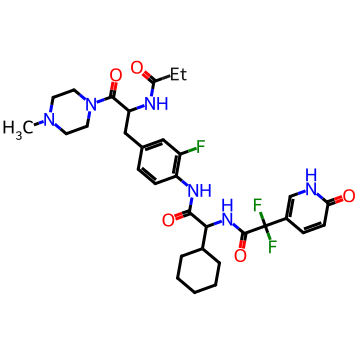 CCC(=O)NC(Cc1ccc(NC(=O)C(NC(=O)C(F)(F)c2ccc(=O)[nH]c2)C2CCCCC2)c(F)c1)C(=O)N1CCN(C)CC1